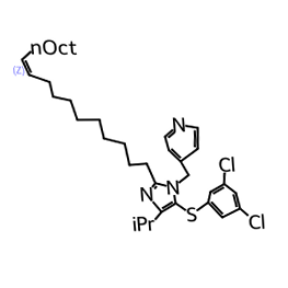 CCCCCCCC/C=C\CCCCCCCCCc1nc(C(C)C)c(Sc2cc(Cl)cc(Cl)c2)n1Cc1ccncc1